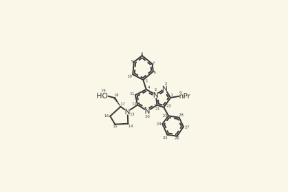 CCCc1nn2c(-c3ccccc3)cc(N3CCC[C@H]3CO)nc2c1-c1ccccc1